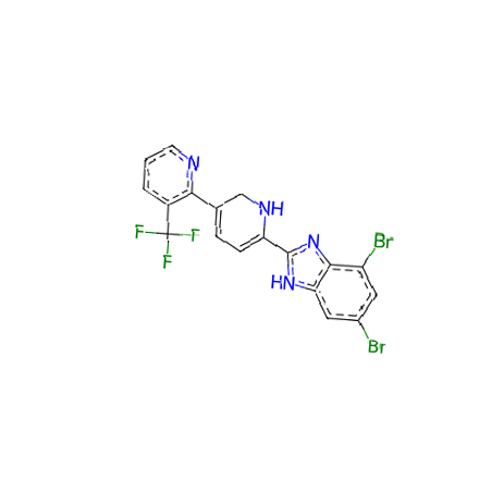 FC(F)(F)c1cccnc1C1=CC=C(c2nc3c(Br)cc(Br)cc3[nH]2)NC1